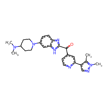 Cc1c(-c2cc(C(=O)c3nc4ccc(N5CCC(N(C)C)CC5)cc4[nH]3)ccn2)cnn1C